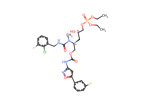 CCOP(=O)(OCC)OC[C@@H](O)C[C@@H](COC(=O)Nc1cc(-c2cccc(F)c2)on1)N(C)C(=O)NCc1cccc(F)c1Cl